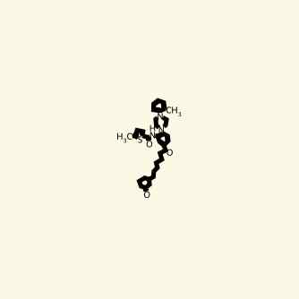 Cc1ccc(C(=O)Nc2cc(C(=O)CCCCCCC3CCCC(=O)C3)ccc2N2CCN(c3ccccc3C)CC2)s1